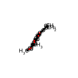 C=C(C)C(=O)OCCCOCCCCOc1ccc2cc(C(=O)Oc3ccc(C(=O)Oc4ccc(/C=C/C(=O)OCCCC)cc4C)cc3)ccc2c1